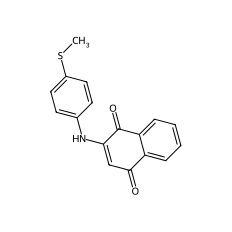 CSc1ccc(NC2=CC(=O)c3ccccc3C2=O)cc1